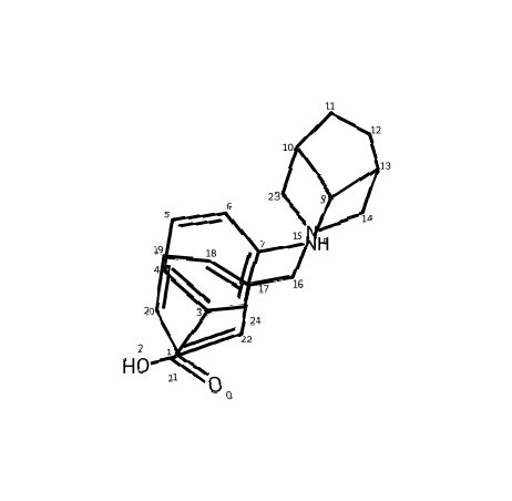 O=C(O)c1cccc(NC2C3CCC2CN(Cc2ccccc2)C3)c1